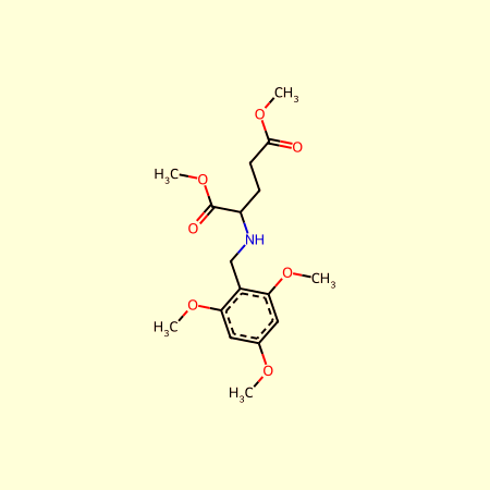 COC(=O)CCC(NCc1c(OC)cc(OC)cc1OC)C(=O)OC